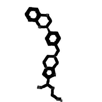 CCOC(O)c1cn2c(n1)CN(Cc1ccc([C@H]3COc4cccnc4O3)cc1)CC2